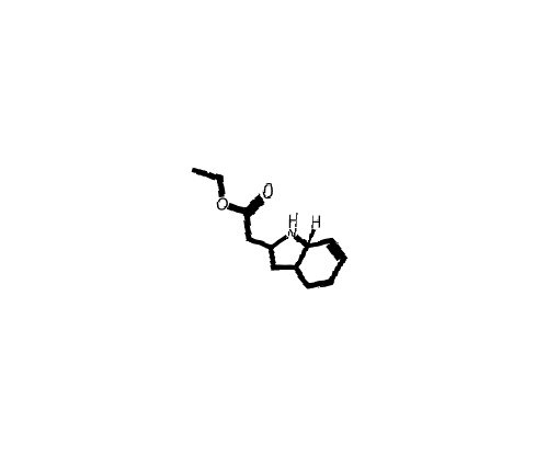 CCOC(=O)CC1CC2CCC=C[C@H]2N1